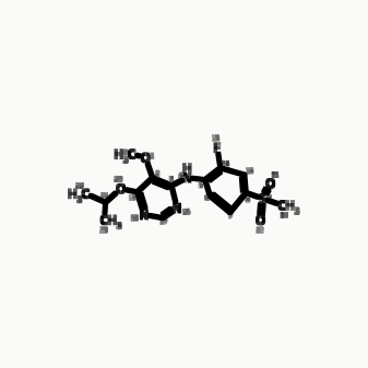 COc1c(Nc2ccc(S(C)(=O)=O)cc2F)ncnc1OC(C)C